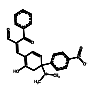 CN(C)C1(c2ccc([N+](=O)[O-])cc2)C=CC(C=C(C=O)C(=O)c2ccccc2)=C(O)C1